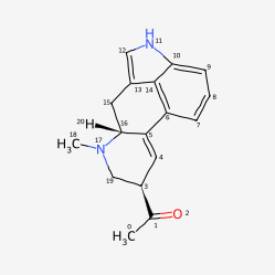 CC(=O)[C@@H]1C=C2c3cccc4[nH]cc(c34)C[C@H]2N(C)C1